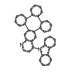 c1ccc2c(c1)-c1ccccc1-c1cc3nccc(-n4c5ccccc5c5ccccc54)c3cc1-c1ccccc1-2